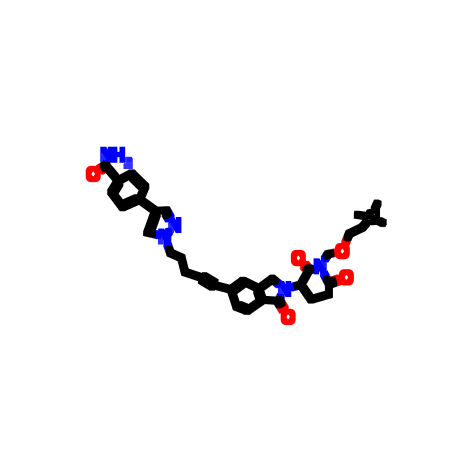 C[Si](C)(C)CCOCN1C(=O)CCC(N2Cc3cc(C#CCCCn4cc(-c5ccc(C(N)=O)cc5)cn4)ccc3C2=O)C1=O